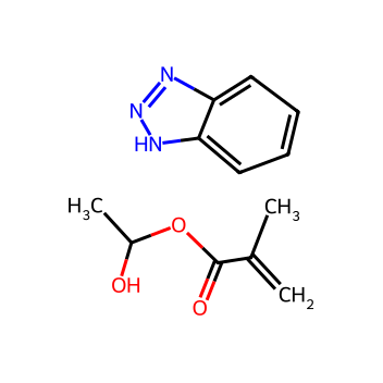 C=C(C)C(=O)OC(C)O.c1ccc2[nH]nnc2c1